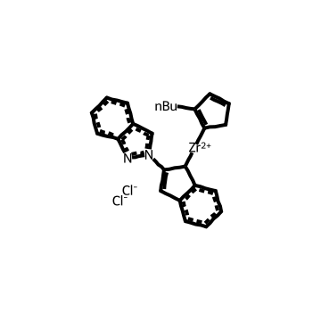 CCCCC1=[C]([Zr+2][CH]2C(n3cc4ccccc4n3)=Cc3ccccc32)CC=C1.[Cl-].[Cl-]